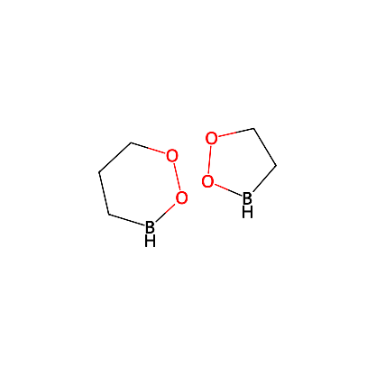 B1CCCOO1.B1CCOO1